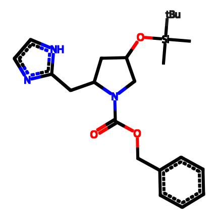 CC(C)(C)[Si](C)(C)OC1CC(Cc2ncc[nH]2)N(C(=O)OCc2ccccc2)C1